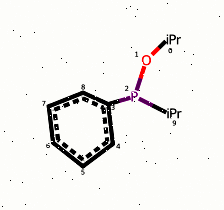 CC(C)OP(c1ccccc1)C(C)C